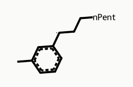 CCCCCCC[CH]c1cccc(C)c1